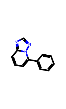 c1ccc(-c2cccc3ncnn23)cc1